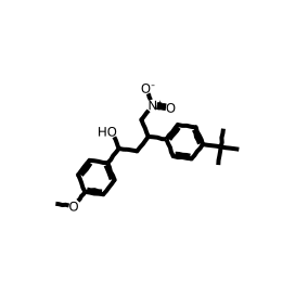 COc1ccc(C(O)CC(C[N+](=O)[O-])c2ccc(C(C)(C)C)cc2)cc1